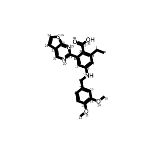 CCc1cc(NCc2ccc(OC)c(OC)c2)cc(-c2ncc3ccsc3n2)c1C(=O)O